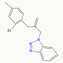 C=C(Cc1ccc(C)cc1CC)Cn1nnc2ccccc21